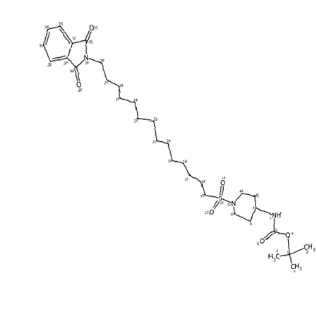 CC(C)(C)OC(=O)NC1CCN(S(=O)(=O)CCCCCCCCCCCCCCN2C(=O)c3ccccc3C2=O)CC1